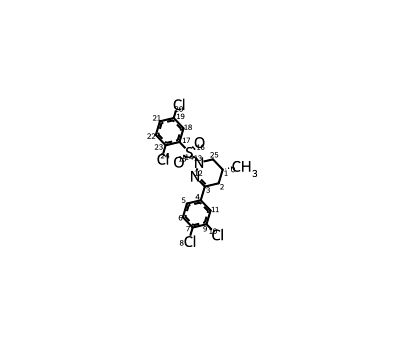 C[C@@H]1CC(c2ccc(Cl)c(Cl)c2)=NN(S(=O)(=O)c2cc(Cl)ccc2Cl)C1